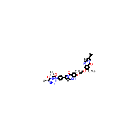 COc1cc2c(cc1OCCCOc1cc3c(cc1OC)C(=O)N1C=C(c4ccc(NC(=O)[C@H](C)NC(=O)[C@@H](N)C(C)C)cc4)C[C@H]1CN3)N=C[C@@H]1CC(C3CC3)=CN1C2=O